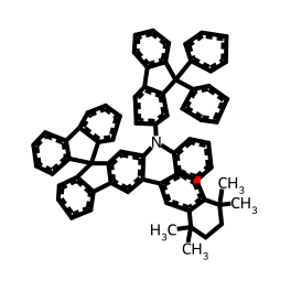 CC1(C)CCC(C)(C)c2cc(-c3cc4c(cc3N(c3ccccc3)c3ccc5c(c3)C(c3ccccc3)(c3ccccc3)c3ccccc3-5)C3(c5ccccc5-c5ccccc53)c3ccccc3-4)ccc21